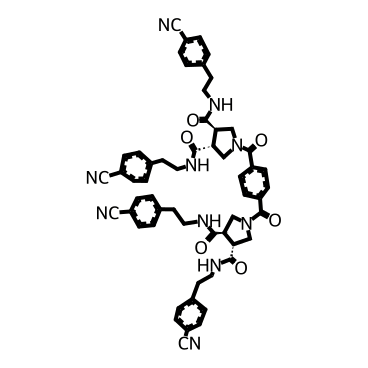 N#Cc1ccc(CCNC(=O)[C@H]2CN(C(=O)c3ccc(C(=O)N4C[C@H](C(=O)NCCc5ccc(C#N)cc5)[C@@H](C(=O)NCCc5ccc(C#N)cc5)C4)cc3)C[C@@H]2C(=O)NCCc2ccc(C#N)cc2)cc1